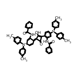 Cc1ccc(N(c2ccc(C)cc2)c2ccc(C3=C(O)/C(=C4/C=CC(=[N+](c5ccc(C)cc5)c5ccc(C)cc5)C=C4NC(=O)c4ccccc4)C3=O)c(NC(=O)c3ccccc3)c2)cc1